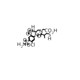 CC(CS)C(=O)N(CC(=O)O)CC1Nc2cc(Cl)c(S(N)(=O)=O)cc2S(=O)(=O)N1